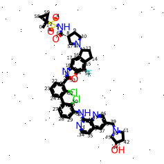 CC1(S(=O)(=O)NC(=O)[C@@H]2CCN([C@@H]3CCc4c3cc3nc(-c5cccc(-c6cccc(Nc7nccc8cc(CN9CC[C@@H](O)C9)cnc78)c6Cl)c5Cl)oc3c4F)C2)CC1